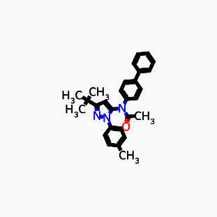 CC(=O)N(c1ccc(-c2ccccc2)cc1)c1cc(C(C)(C)C)nn1-c1ccc(C)cc1